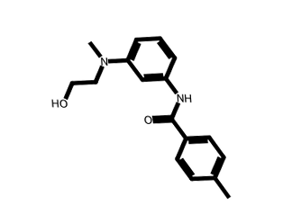 Cc1ccc(C(=O)Nc2cccc(N(C)CCO)c2)cc1